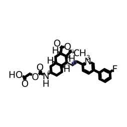 C[C@H]1OC(=O)[C@@H]2C[C@@H]3C[C@H](NC(=O)OCC(=O)O)CC[C@H]3[C@H](/C=C/c3ccc(-c4cccc(F)c4)cn3)[C@H]12